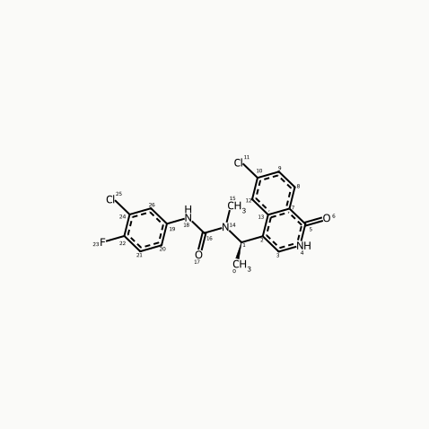 C[C@H](c1c[nH]c(=O)c2ccc(Cl)cc12)N(C)C(=O)Nc1ccc(F)c(Cl)c1